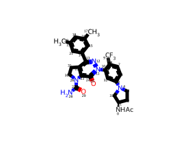 CC(=O)N[C@@H]1CCN(c2ccc(C(F)(F)F)c(-n3nc(-c4cc(C)cc(C)c4)c4c(c3=O)N(C(N)=O)CC4)c2)C1